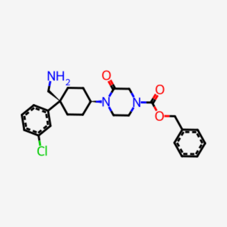 NC[C@]1(c2cccc(Cl)c2)CC[C@H](N2CCN(C(=O)OCc3ccccc3)CC2=O)CC1